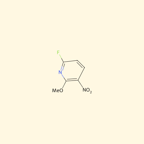 COc1nc(F)ccc1[N+](=O)[O-]